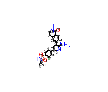 Nc1ncc(-c2ccc(S(=O)(=O)NC3CC3)c(F)c2)cc1-c1ccc2c(c1)CCNC2=O